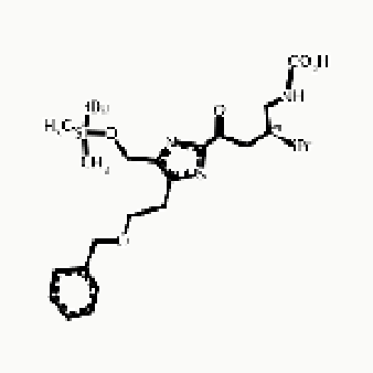 CC(C)[C@H](CNC(=O)O)CC(=O)c1nc(CO[Si](C)(C)C(C)(C)C)c(CCOCc2ccccc2)s1